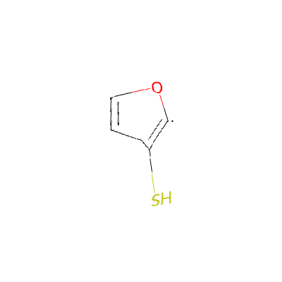 Sc1[c]occ1